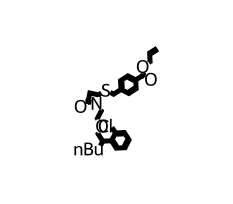 C=CCOC(=O)c1ccc(CSC2CC(=O)N2CCOCC(CCCC)c2ccccc2Cl)cc1